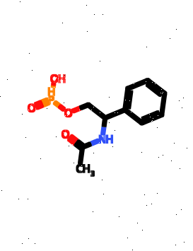 CC(=O)NC(CO[PH](=O)O)c1ccccc1